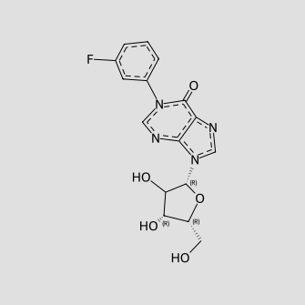 O=c1c2ncn([C@@H]3O[C@H](CO)[C@H](O)C3O)c2ncn1-c1cccc(F)c1